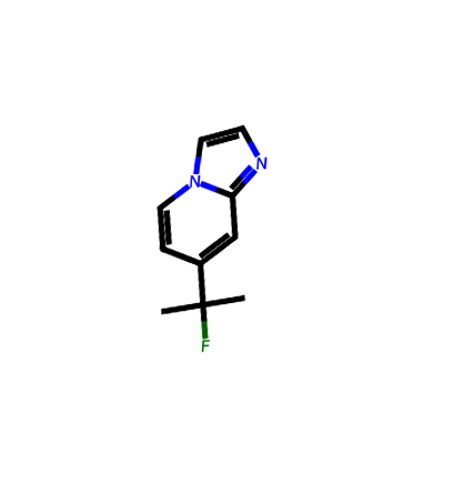 CC(C)(F)c1ccn2ccnc2c1